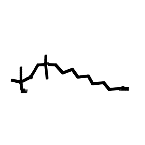 CCCCCCCCCCCCCCCCCC[N+](C)(C)CO[Si](C)(C)C(C)(C)C